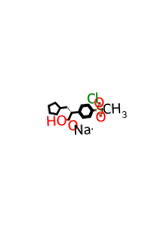 CS(=O)(=O)c1ccc([C@@H](CC2CCCC2)C(=O)O)cc1Cl.[Na]